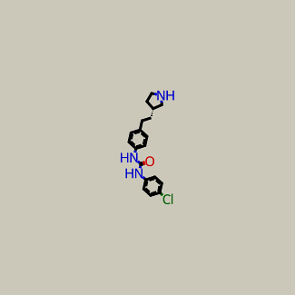 O=C(Nc1ccc(Cl)cc1)Nc1ccc(CC[C@@H]2CCNC2)cc1